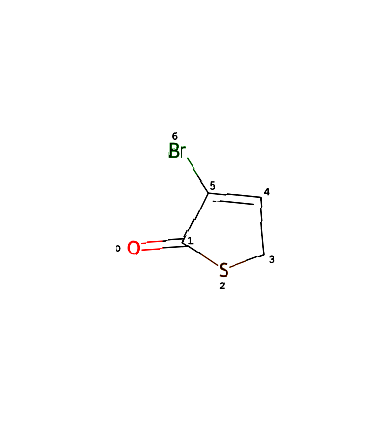 O=C1SCC=C1Br